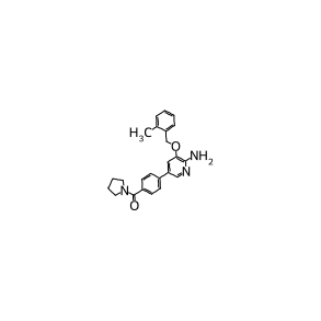 Cc1ccccc1COc1cc(-c2ccc(C(=O)N3CCCC3)cc2)cnc1N